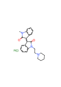 CN1C(=O)/C(=C2/C(=O)N(CCN3CCCCC3)c3ccccc32)c2ccccc21.Cl